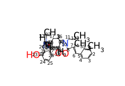 Cc1cccc(C=CC(=O)N(CC(C)C)[C@@H]2CC[C@H]3[C@H]4Cc5c(O)ccc6c5[C@@]3(CCN4C)[C@H]2O6)c1